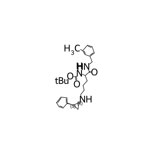 Cc1cccc(CNC(=O)C(CCCCN[C@@H]2C[C@H]2c2ccccc2)NC(=O)OC(C)(C)C)c1